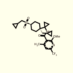 COc1nc(C(F)(F)F)cc(C)c1C(=O)NC1([C@]2(CC3CC3)CC[C@H](S(=O)(=O)CC3CC3)CC2)CC1